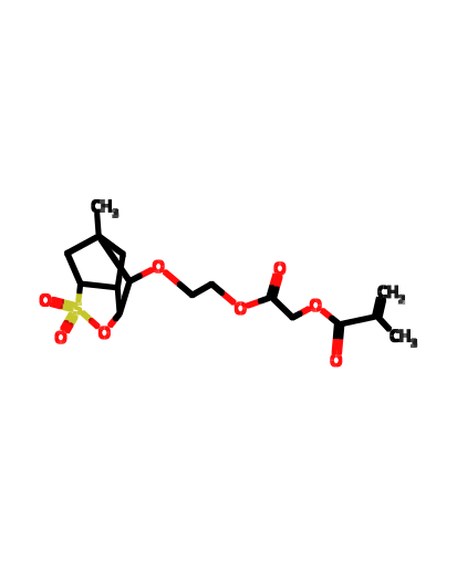 C=C(C)C(=O)OCC(=O)OCCOC1C2OS(=O)(=O)C3CC1(C)CC23